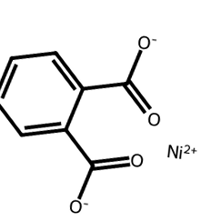 O=C([O-])c1ccccc1C(=O)[O-].[Ni+2]